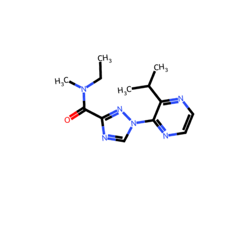 CCN(C)C(=O)c1ncn(-c2nccnc2C(C)C)n1